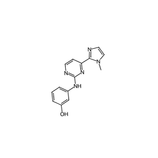 Cn1ccnc1-c1ccnc(Nc2cccc(O)c2)n1